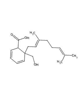 CC(C)=CCC/C(C)=C/CC1(CO)C=CC=CC1C(=O)O